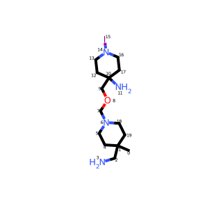 CC1(CN)CCN(COCC2(N)CCN(I)CC2)CC1